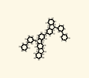 c1ccc(-c2cccc(C3c4ccccc4-c4cc(-c5ccc6c(c5)c5cc7c(cc5n6-c5cccc(-c6ccccc6)c5)-c5ccccc5C7)ccc43)c2)cc1